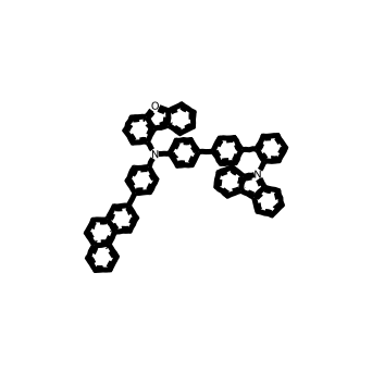 c1ccc(-n2c3ccccc3c3ccccc32)c(-c2ccc(-c3ccc(N(c4ccc(-c5ccc6c(ccc7ccccc76)c5)cc4)c4cccc5oc6ccccc6c45)cc3)cc2)c1